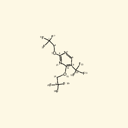 FC(F)(F)COc1ncc(C(F)(F)F)c(OCC(F)(F)F)n1